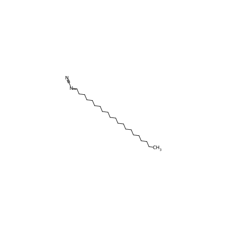 CCCCCCCCCCCCCCCCCCCCC=NC#N